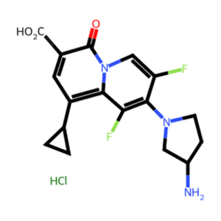 Cl.NC1CCN(c2c(F)cn3c(=O)c(C(=O)O)cc(C4CC4)c3c2F)C1